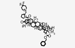 CC(C)C1=C2[C@H]3CC[C@@H]4[C@]5(C)CC[C@H]([C@@]6(C(=O)O)C[C@@H](C(=O)OCc7ccccc7)C6(C)C)C(C)(C)[C@H]5CC[C@@]4(C)[C@]3(C)CC[C@@]2(C(=O)N2CCC[C@H]2CN2CCC(F)(F)CC2)CC1=O